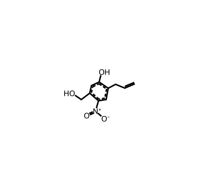 C=CCc1cc([N+](=O)[O-])c(CO)cc1O